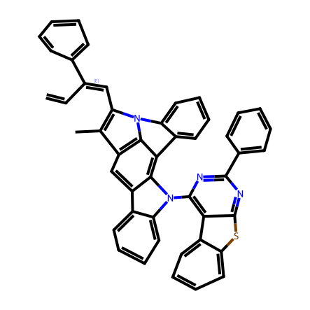 C=C/C(=C\c1c(C)c2cc3c4ccccc4n(-c4nc(-c5ccccc5)nc5sc6ccccc6c45)c3c3c4ccccc4n1c23)c1ccccc1